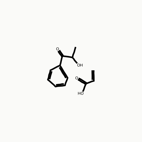 C=CC(=O)O.CC(O)C(=O)c1ccccc1